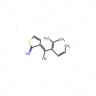 C/C=C\C(=C(C)C)/C(C#N)=C1\C=CSC1=N